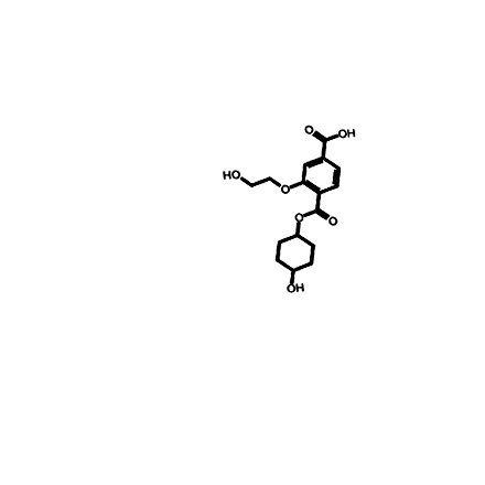 O=C(O)c1ccc(C(=O)OC2CCC(O)CC2)c(OCCO)c1